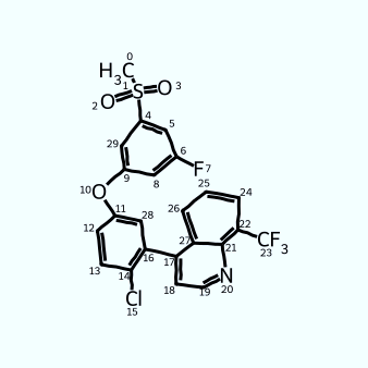 CS(=O)(=O)c1cc(F)cc(Oc2ccc(Cl)c(-c3ccnc4c(C(F)(F)F)cccc34)c2)c1